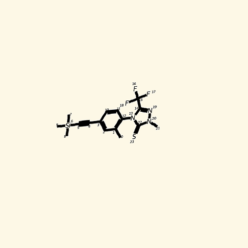 Cc1cc(C#C[Si](C)(C)C)ccc1-n1c(C(F)(F)F)nn(C)c1=S